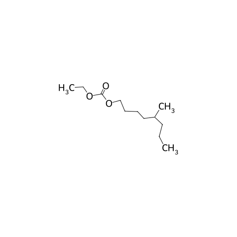 CCCC(C)CCCCOC(=O)OCC